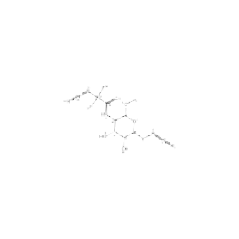 CO[C@@H]1OC(CN=[N+]=[N-])[C@H](O)[C@H](O)C1NC(=O)C(F)(F)N=[N+]=[N-]